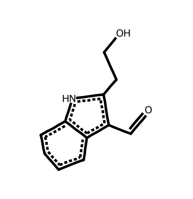 O=Cc1c(CCO)[nH]c2ccccc12